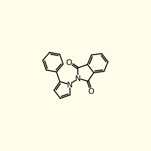 O=C1c2ccccc2C(=O)N1n1cccc1-c1ccccc1